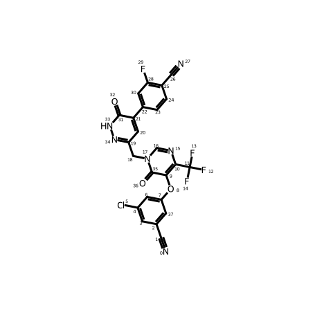 N#Cc1cc(Cl)cc(Oc2c(C(F)(F)F)ncn(Cc3cc(-c4ccc(C#N)c(F)c4)c(=O)[nH]n3)c2=O)c1